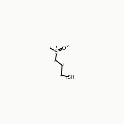 C[Si](=O)CCCS